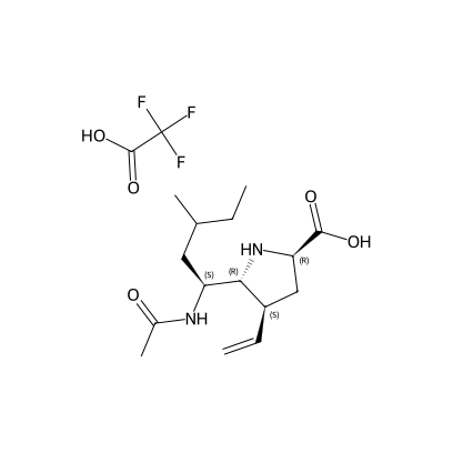 C=C[C@@H]1C[C@H](C(=O)O)N[C@H]1[C@H](CC(C)CC)NC(C)=O.O=C(O)C(F)(F)F